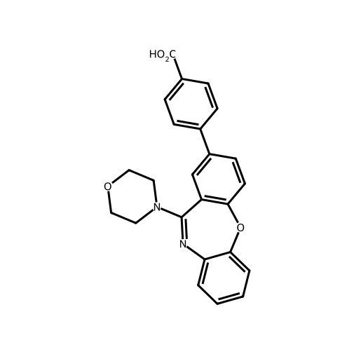 O=C(O)c1ccc(-c2ccc3c(c2)C(N2CCOCC2)=Nc2ccccc2O3)cc1